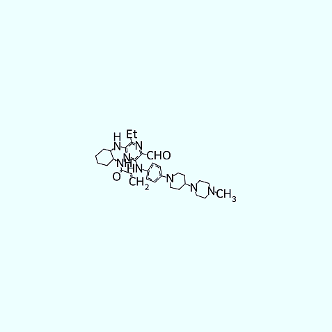 C=CC(=O)N[C@H]1CCCC[C@H]1Nc1nc(Nc2ccc(N3CCC(N4CCN(C)CC4)CC3)cc2)c(C=O)nc1CC